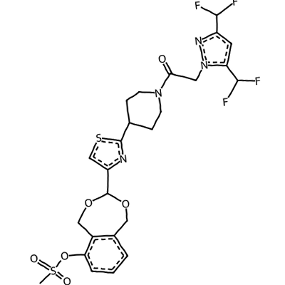 CS(=O)(=O)Oc1cccc2c1COC(c1csc(C3CCN(C(=O)Cn4nc(C(F)F)cc4C(F)F)CC3)n1)OC2